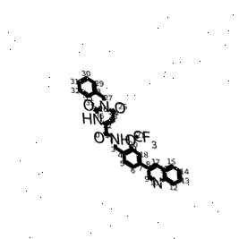 O=C(NCc1ccc(-c2cnc3ccccc3c2)cc1OC(F)(F)F)c1cc(=O)n(Cc2ccccc2)c(=O)[nH]1